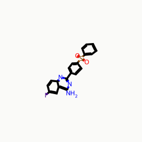 Nc1nc(-c2ccc(S(=O)(=O)c3ccccc3)cc2)nc2ccc(I)cc12